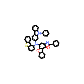 c1ccc(-c2nc3cc(N(c4ccc5c6ccccc6n(-c6ccccc6)c5c4)c4cccc5sc6ccccc6c45)c4oc5ccccc5c4c3o2)cc1